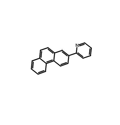 [c]1c(-c2ccccn2)ccc2c1ccc1ccccc12